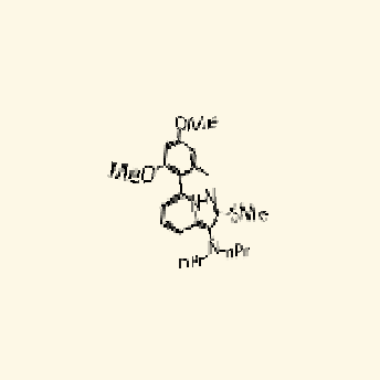 CCCN(CCC)c1c(SC)nn2c(-c3c(C)cc(OC)cc3OC)cccc12